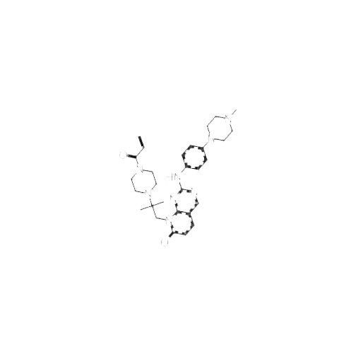 C=CC(=O)N1CCN(C(C)(C)Cn2c(=O)ccc3cnc(Nc4ccc(N5CCN(C)CC5)cc4)nc32)CC1